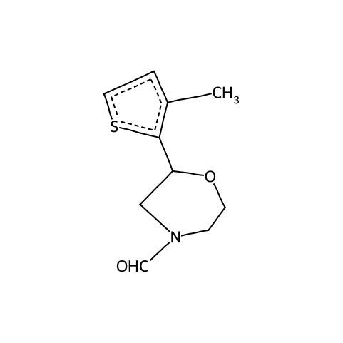 Cc1ccsc1C1CN(C=O)CCO1